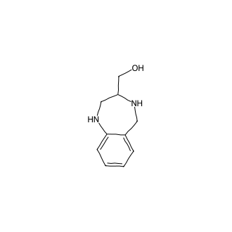 OCC1CNc2ccccc2CN1